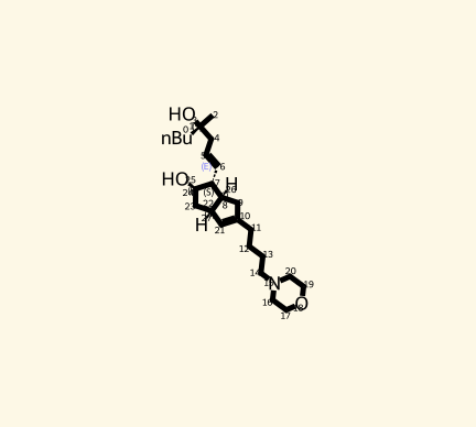 CCCC[C@](C)(O)C/C=C/[C@@H]1[C@H]2CC(CCCCN3CCOCC3)=C[C@H]2C[C@H]1O